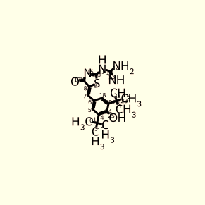 CC(C)(C)c1cc(/C=C2\SC(NC(=N)N)=NC2=O)cc(C(C)(C)C)c1O